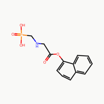 O=C(CNCP(=O)(O)O)Oc1cccc2ccccc12